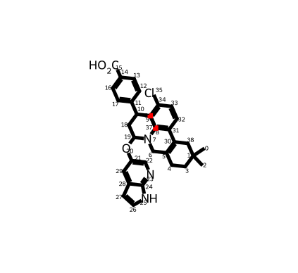 CC1(C)CCC(CN2CCC(c3ccc(C(=O)O)cc3)CC2Oc2cnc3[nH]ccc3c2)=C(c2ccc(Cl)cc2)C1